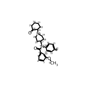 COc1cccc(C(=O)N(c2ccc(F)cc2)C2CCN(C3CCCCC3=O)CC2)c1